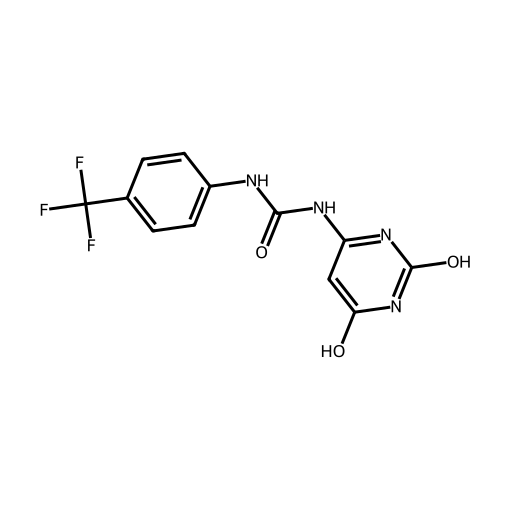 O=C(Nc1ccc(C(F)(F)F)cc1)Nc1cc(O)nc(O)n1